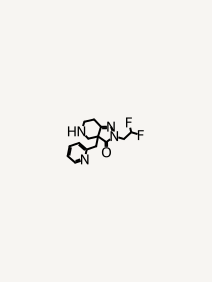 O=C1N(CC(F)F)N=C2CCNCC12Cc1ccccn1